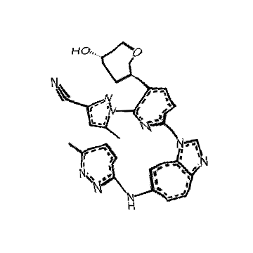 Cc1ccc(Nc2ccc3ncn(-c4ccc([C@H]5C[C@H](O)CO5)c(-n5nc(C#N)cc5C)n4)c3c2)nn1